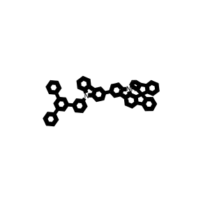 c1ccc(-c2cc(-c3ccccc3)cc(-c3cccc(-n4c5ccccc5c5cc(-c6ccc7[nH]c8c9c(ccc8c7c6)-c6ccccc6C96c7ccccc7-c7ccccc76)ccc54)c3)c2)cc1